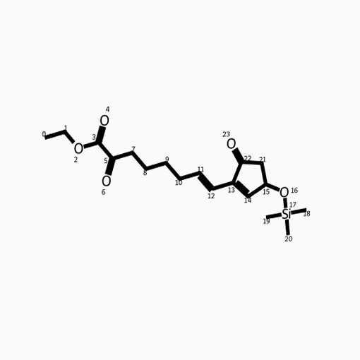 CCOC(=O)C(=O)CCCCC=CC1=CC(O[Si](C)(C)C)CC1=O